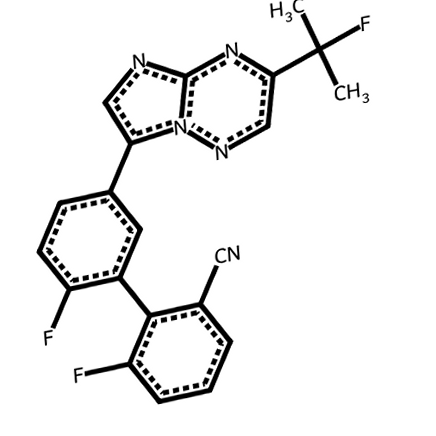 CC(C)(F)c1cnn2c(-c3ccc(F)c(-c4c(F)cccc4C#N)c3)cnc2n1